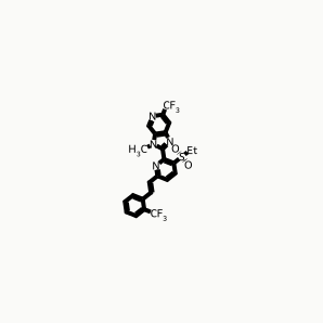 CCS(=O)(=O)c1ccc(/C=C/c2ccccc2C(F)(F)F)nc1-c1nc2cc(C(F)(F)F)ncc2n1C